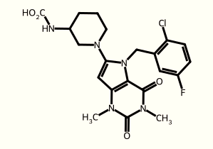 Cn1c(=O)c2c(cc(N3CCCC(NC(=O)O)C3)n2Cc2cc(F)ccc2Cl)n(C)c1=O